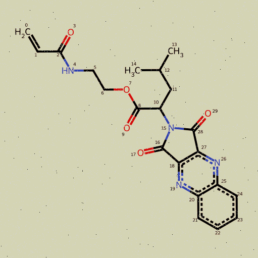 C=CC(=O)NCCOC(=O)C(CC(C)C)N1C(=O)c2nc3ccccc3nc2C1=O